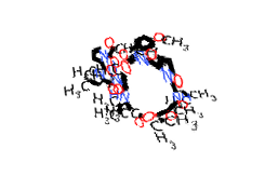 CCC(C)[C@H]1NC(=O)C(NC(=O)[C@@H](CC(C)C)N(C)C(=O)C2CCCN2C(=O)C(C)=O)[C@H](C)OC(=O)[C@H](Cc2ccc(OC)cc2)N(C)C(=O)C2CCCN2C(=O)[C@H](CC(C)C)NC(=O)[C@@H](C)C(=O)[C@H](C(C)C)OC(=O)C[C@H]1C